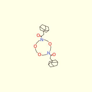 O=C(CC12CC3CC(CC(C3)C1)C2)N1CCOCCOCCN(C(=O)CC23CC4CC(CC(C4)C2)C3)CCOCC1